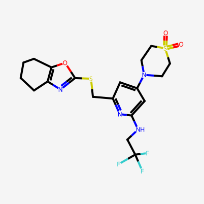 O=S1(=O)CCN(c2cc(CSc3nc4c(o3)CCCC4)nc(NCC(F)(F)F)c2)CC1